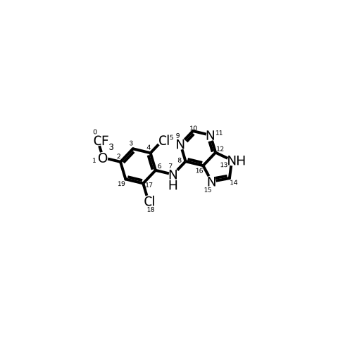 FC(F)(F)Oc1cc(Cl)c(Nc2ncnc3[nH]cnc23)c(Cl)c1